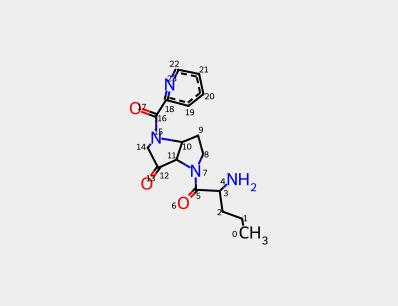 CCCC(N)C(=O)N1CCC2C1C(=O)CN2C(=O)c1ccccn1